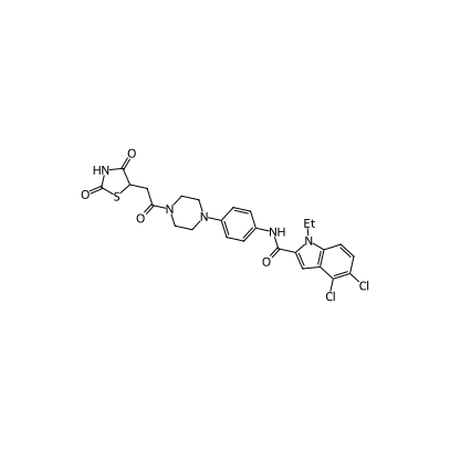 CCn1c(C(=O)Nc2ccc(N3CCN(C(=O)CC4SC(=O)NC4=O)CC3)cc2)cc2c(Cl)c(Cl)ccc21